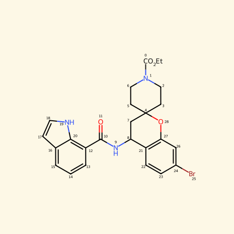 CCOC(=O)N1CCC2(CC1)CC(NC(=O)c1cccc3cc[nH]c13)c1ccc(Br)cc1O2